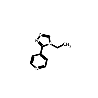 CCn1[c]nnc1-c1ccncc1